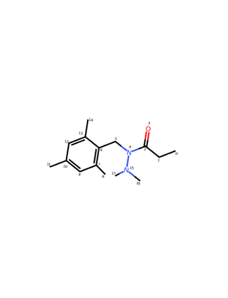 CCC(=O)N(Cc1c(C)cc(C)cc1C)N(C)C